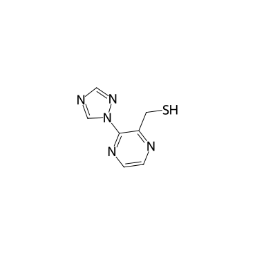 SCc1nccnc1-n1cncn1